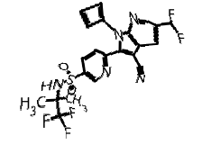 CC(C)(NS(=O)(=O)c1ccc(-c2c(C#N)c3cc(C(F)F)cnc3n2C2=CC=C2)nc1)C(F)(F)F